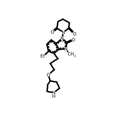 CCc1ccc2c(c1CCCOC1CCNCC1)n(C)c(=O)n2N1C(=O)CCCC1=O